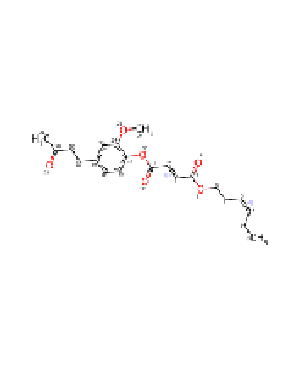 CC/C=C\CCOC(=O)/C=C/C(=O)Oc1ccc(CCC(C)=O)cc1OC